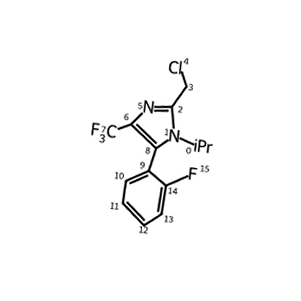 CC(C)n1c(CCl)nc(C(F)(F)F)c1-c1ccccc1F